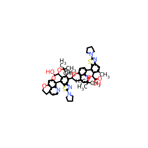 Cc1cc2nc(N3CCCC3)sc2c(-c2ccc3c4c(ccnc24)CC(c2c(C)c([C@H](OC(C)(C)C)C(=O)O)c(-c4ccc5c6c(ccnc46)CCO5)c4sc(N5CCCC5)nc24)O3)c1[C@H](OC(C)(C)C)C(=O)O